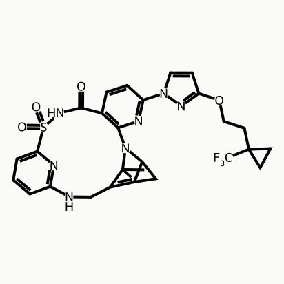 CC1(C)C2=C3CC3N1c1nc(-n3ccc(OCCC4(C(F)(F)F)CC4)n3)ccc1C(=O)NS(=O)(=O)c1cccc(n1)NC2